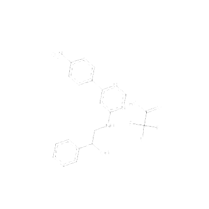 O=C(O)C(F)(F)F.O=[N+]([O-])c1ccc(-c2cc(NCC(O)c3ccccc3)ncn2)cc1